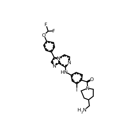 NCC1CCN(C(=O)c2ccc(Nc3nccn4c(-c5ccc(OC(F)F)cc5)cnc34)cc2I)CC1